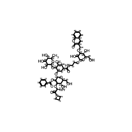 CCC[C@H](OC1C(OC(=O)c2ccccc2)[C@H](O[C@@H]2CC(C(=O)NCCO[C@H]3OC(CO)[C@@H](O)C(OCc4cc5ccccc5oc4=O)C3O)CC(C)C2O[C@@H]2OC(C)[C@@H](O)C(O)C2O)OC(CO)[C@@H]1O)C(=O)N1CCC1